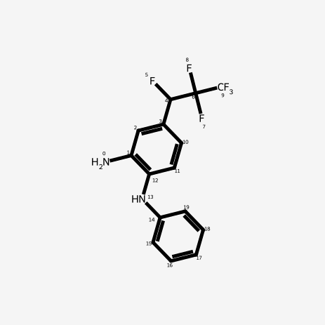 Nc1cc(C(F)C(F)(F)C(F)(F)F)ccc1Nc1ccccc1